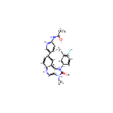 COC(=O)Nc1ccc(-c2ccc3ncc4c(c3c2)n(-c2ccc(F)c(C(F)(F)F)c2)c(=O)n4C)cn1